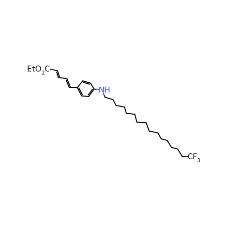 CCOC(=O)C=CC=Cc1ccc(NCCCCCCCCCCCCCCCC(F)(F)F)cc1